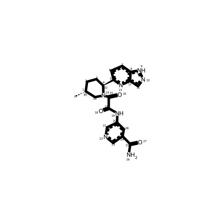 C[C@@H]1CC[C@@H](c2ccc3[nH]ncc3n2)N(C(=O)C(=O)Nc2cncc(C(N)=O)c2)C1